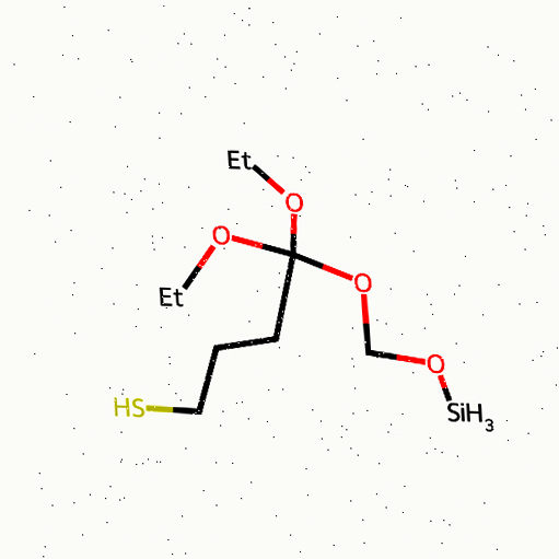 CCOC(CCCS)(OCC)OCO[SiH3]